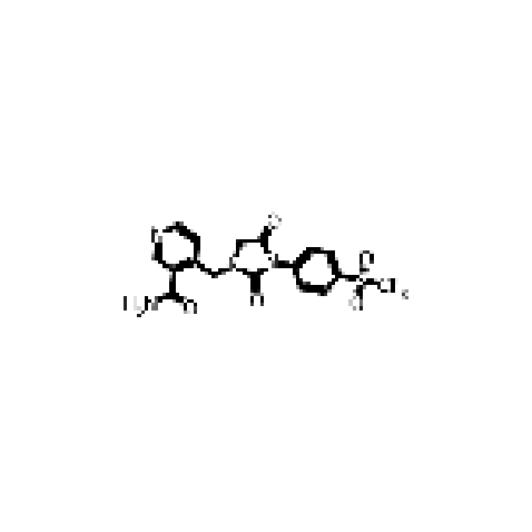 NC(=O)c1cnccc1CN1CC(=O)N(c2ccc(S(=O)(=O)C(F)(F)F)cc2)C1=O